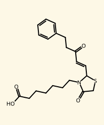 O=C(O)CCCCCCN1C(=O)CSC1C=CC(=O)CCc1ccccc1